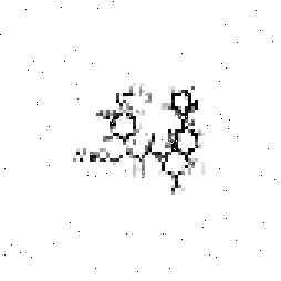 COC[C@H](NC(=O)N1CC(=O)Nc2ccc(-n3cccn3)nc21)c1ccc(OC(F)(F)F)c(F)c1